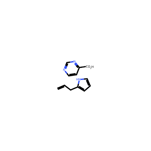 C=CCc1ccc[nH]1.O=C(O)c1ccncn1